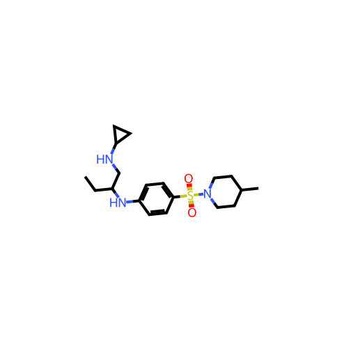 CCC(CNC1CC1)Nc1ccc(S(=O)(=O)N2CCC(C)CC2)cc1